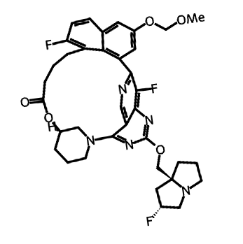 COCOc1cc2c3c(c(F)ccc3c1)CCCC(=O)O[C@@H]1CCCN(C1)c1nc(OC[C@@]34CCCN3C[C@H](F)C4)nc3c(F)c-2ncc13